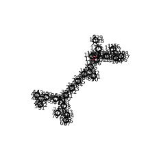 c1ccc(-c2ccc(N(c3ccc(-c4ccc5c6ccc(-c7ccc(-c8ccc(-c9ccc(N(c%10ccc(-c%11ccc%12c%13ccccc%13c%13ccccc%13c%12c%11)cc%10)c%10ccc(-c%11ccc%12ccccc%12c%11-c%11ccccc%11)cc%10)cc9)cc8)cc7)cc6c6ccccc6c5c4)cc3)c3ccc(-c4ccc5ccccc5c4-c4ccccc4)cc3)c(-c3ccccc3)c2)cc1